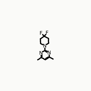 Cc1cc(C)nc(N2CCC(F)(F)CC2)n1